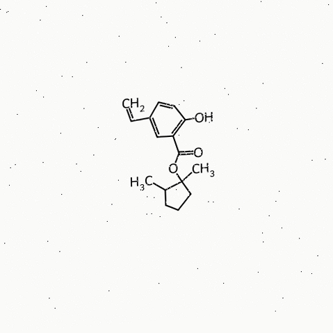 C=Cc1ccc(O)c(C(=O)OC2(C)CCCC2C)c1